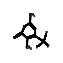 CC1=[C]C(C(F)(F)F)=C(C)C(=O)[N]1